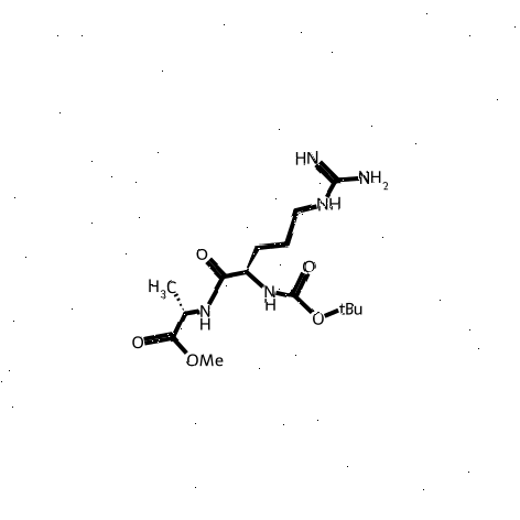 COC(=O)[C@H](C)NC(=O)[C@@H](CCCNC(=N)N)NC(=O)OC(C)(C)C